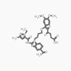 CCn1nc(C)cc1C(=O)Nc1nc2cc(C(N)=O)ccc2n1CCCCOc1c(C(=O)CCC(=O)O)sc2cc(OC)c(OC)cc12